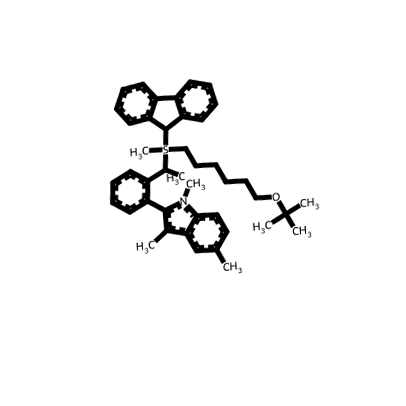 Cc1ccc2c(c1)c(C)c(-c1ccccc1C(C)S(C)(CCCCCCOC(C)(C)C)C1c3ccccc3-c3ccccc31)n2C